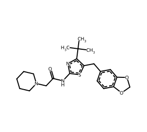 CC(C)(C)c1nc(NC(=O)CN2CCCCC2)sc1Cc1ccc2c(c1)OCO2